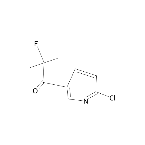 CC(C)(F)C(=O)c1ccc(Cl)nc1